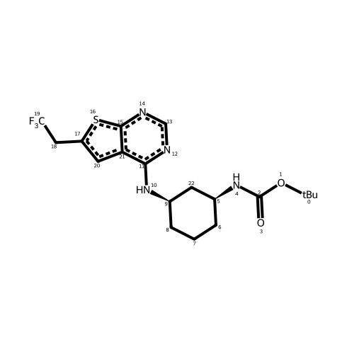 CC(C)(C)OC(=O)N[C@H]1CCC[C@@H](Nc2ncnc3sc(CC(F)(F)F)cc23)C1